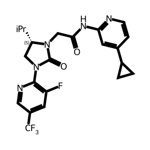 CC(C)[C@H]1CN(c2ncc(C(F)(F)F)cc2F)C(=O)N1CC(=O)Nc1cc(C2CC2)ccn1